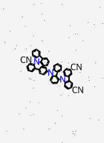 N#Cc1ccc2c(c1)c1cc(C#N)ccc1n2-c1cccc2c1c1ccccc1n2-c1ccc(-c2cccc(C#N)c2-n2c3ccccc3c3ccccc32)cc1